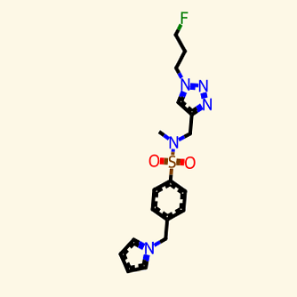 CN(Cc1cn(CCCF)nn1)S(=O)(=O)c1ccc(Cn2cccc2)cc1